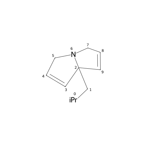 CC(C)CC12C=CCN1CC=C2